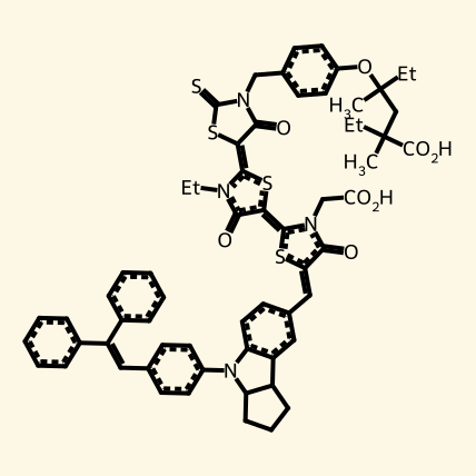 CCn1c(=O)/c(=c2\s/c(=C\c3ccc4c(c3)C3CCCC3N4c3ccc(C=C(c4ccccc4)c4ccccc4)cc3)c(=O)n2CC(=O)O)s/c1=C1/SC(=S)N(Cc2ccc(OC(C)(CC)CC(C)(CC)C(=O)O)cc2)C1=O